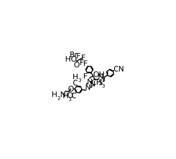 Cc1cc(C[n+]2cnn(C[C@](O)(c3ccc(F)cc3F)[C@@H](C)c3nc(-c4ccc(C#N)cc4)cs3)c2)cc(C)c1OC(=O)CN.O=C(O)C(F)(F)F.[Br-]